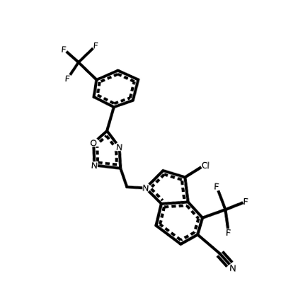 N#Cc1ccc2c(c(Cl)cn2Cc2noc(-c3cccc(C(F)(F)F)c3)n2)c1C(F)(F)F